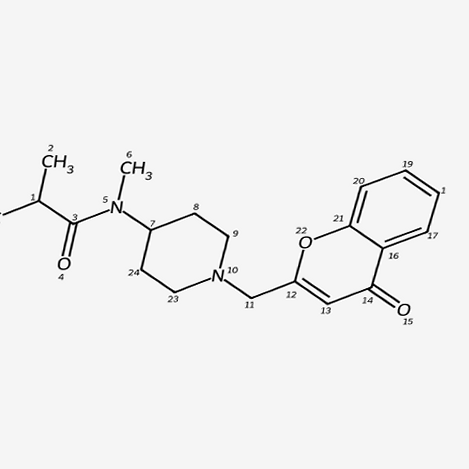 CC(C)C(=O)N(C)C1CCN(Cc2cc(=O)c3ccccc3o2)CC1